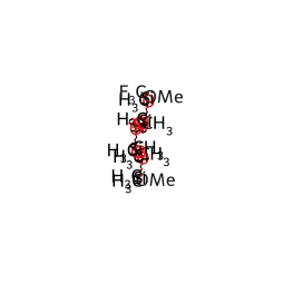 CO[Si](C)(C)CCCCCCO[Si](C)(C)OO[Si](C)(C)CCCCCCO[Si](OO[Si](C)(C)CCCCCCO[Si](C)(CCC(F)(F)F)OC)(c1ccccc1)c1ccccc1